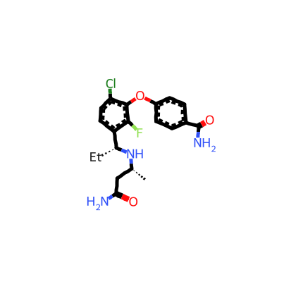 CC[C@@H](N[C@H](C)CC(N)=O)c1ccc(Cl)c(Oc2ccc(C(N)=O)cc2)c1F